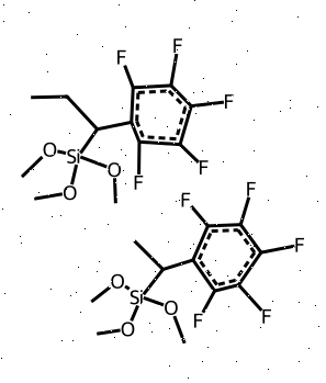 CCC(c1c(F)c(F)c(F)c(F)c1F)[Si](OC)(OC)OC.CO[Si](OC)(OC)C(C)c1c(F)c(F)c(F)c(F)c1F